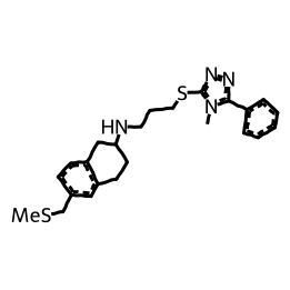 CSCc1ccc2c(c1)CCC(NCCCSc1nnc(-c3ccccc3)n1C)C2